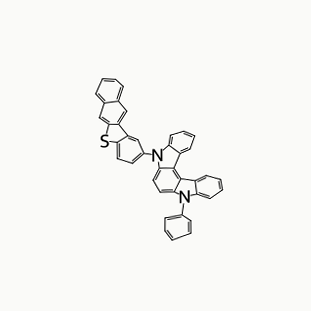 c1ccc(-n2c3ccccc3c3c4c5ccccc5n(-c5ccc6sc7cc8ccccc8cc7c6c5)c4ccc32)cc1